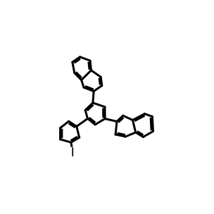 Ic1cccc(-c2cc(-c3ccc4ccccc4c3)cc(-c3ccc4ccccc4c3)c2)c1